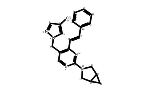 CCOC(=O)c1cnn(Cc2cnc(N3CC4CC4C3)nc2/C=C/c2ccccc2)c1